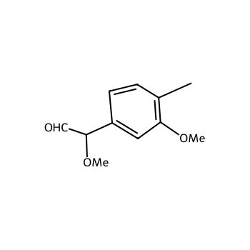 COc1cc(C(C=O)OC)ccc1C